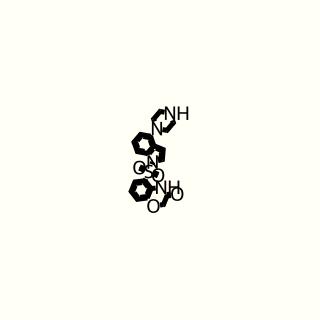 O=C1COc2cccc(S(=O)(=O)n3ccc4c(N5CCNCC5)cccc43)c2N1